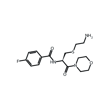 NCCSC[C@H](NC(=O)c1ccc(F)cc1)C(=O)N1CCOCC1